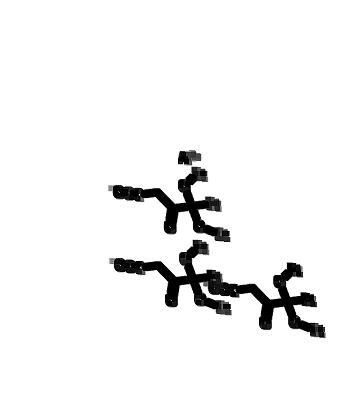 CCOC(CC)(OCC)C(=O)CC(=O)[O-].CCOC(CC)(OCC)C(=O)CC(=O)[O-].CCOC(CC)(OCC)C(=O)CC(=O)[O-].[Al+3]